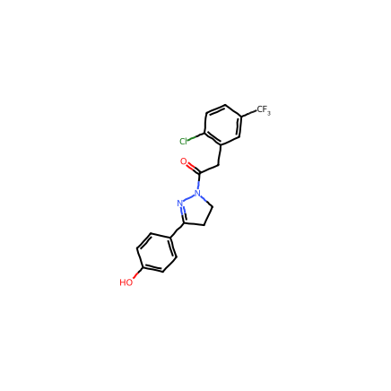 O=C(Cc1cc(C(F)(F)F)ccc1Cl)N1CCC(c2ccc(O)cc2)=N1